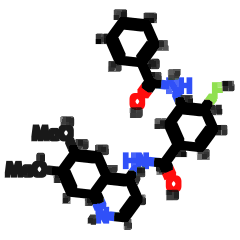 COc1cc2nccc(NC(=O)c3ccc(F)c(NC(=O)c4ccccc4)c3)c2cc1OC